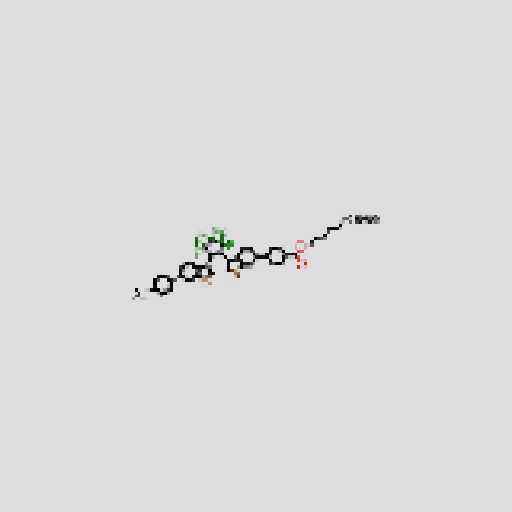 COCCCCCCOC(=O)c1ccc(-c2ccc3c(C4=C(c5csc6cc(-c7ccc(C(C)=O)cc7)ccc56)C(F)(F)C(F)(F)C4(F)F)csc3c2)cc1